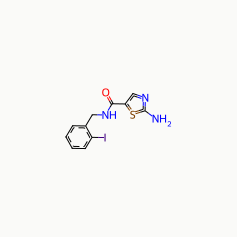 Nc1ncc(C(=O)NCc2ccccc2I)s1